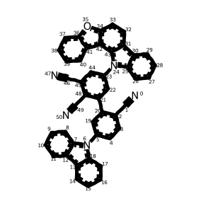 N#Cc1ccc(-n2c3ccccc3c3ccccc32)cc1-c1cc(-n2c3ccccc3c3ccc4oc5ccccc5c4c32)cc(C#N)c1C#N